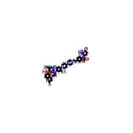 CCc1cc(Nc2ncc(Br)c(Nc3ccc4nc(C)ccc4c3[PH]3(O)CCCC3)n2)c(OC)cc1N1CCC(N2CCN(CCc3ccc4c(c3)oc(=O)n4C3CCC(=O)NC3=O)CC2)CC1